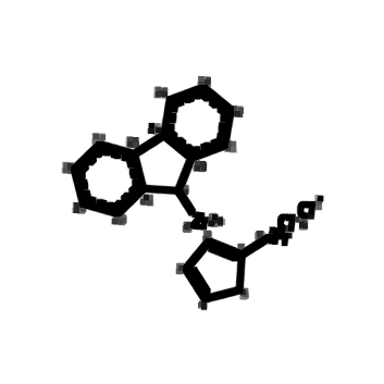 CC(C)C1=CC=CC1.[Cl-].[Cl-].[Zr+2][CH]1c2ccccc2-c2ccccc21